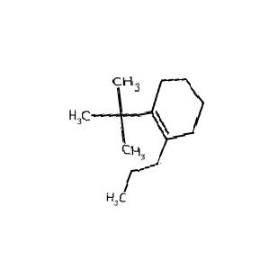 CC[CH]C1=C(C(C)(C)C)CCCC1